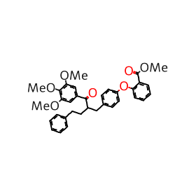 COC(=O)c1ccccc1Oc1ccc(CC(CCc2ccccc2)C(=O)c2cc(OC)c(OC)c(OC)c2)cc1